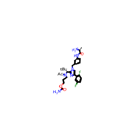 CC(=O)N(CCCOC(N)=O)[C@@H](c1nc(-c2cc(F)ccc2F)cn1Cc1cccc(NC(=O)[C@H](C)N)c1)C(C)(C)C